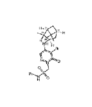 CC(C)NS(=O)(=O)Cn1ncc(N[C@@H]2C[C@@H]3C[C@H]([C@H]2C)C3(C)C)c(Br)c1=O